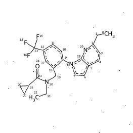 CCc1ccc2ccn(-c3ccc(C(F)(F)F)cc3CN(CC)C(=O)C3CC3)c2n1